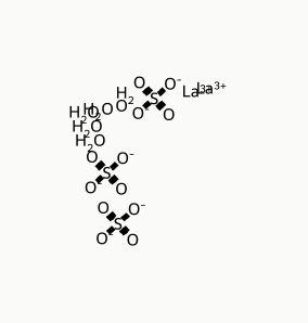 O.O.O.O.O.O=S(=O)([O-])[O-].O=S(=O)([O-])[O-].O=S(=O)([O-])[O-].[La+3].[La+3]